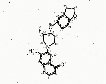 Cc1cc2nccc(=O)n2nc1N1CC[C@@H](Oc2ccc3c(c2)CCO3)[C@H](F)C1